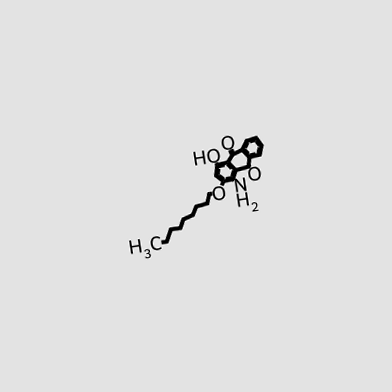 CCCCCCCCCOc1cc(O)c2c(c1N)C(=O)c1ccccc1C2=O